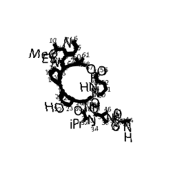 CCn1c(-c2cccnc2[C@H](C)OC)c2c3cc(ccc31)-c1cc(O)cc(c1)C[C@H](NC(=O)C(C(C)C)N(C)C(=O)C1CN(S(=O)(=O)[C@H]3CN3)C1)C(=O)N1CCC[C@H](N1)C(=O)OCC(C)(C)C2